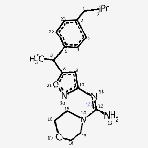 CC(C)Cc1ccc(C(C)c2cc(/N=C(/N)N3CCOCC3)no2)cc1